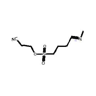 C/N=C/CCCS(=O)(=O)OCCC#N